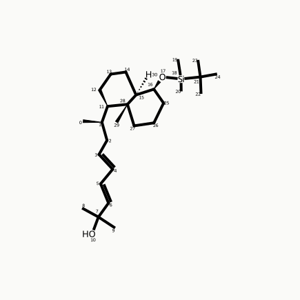 C[C@H](C/C=C/C=C/C(C)(C)O)[C@H]1CCC[C@H]2[C@@H](O[Si](C)(C)C(C)(C)C)CCC[C@]12C